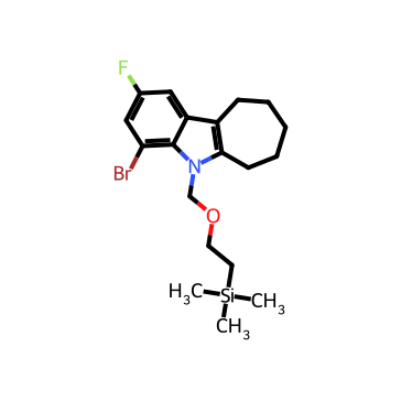 C[Si](C)(C)CCOCn1c2c(c3cc(F)cc(Br)c31)CCCCC2